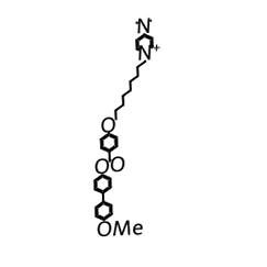 COc1ccc(-c2ccc(OC(=O)c3ccc(OCCCCCCCCC[n+]4ccc(N(C)C)cc4)cc3)cc2)cc1